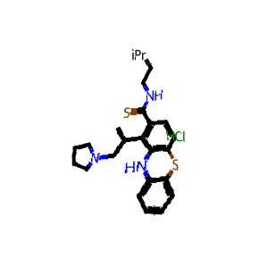 CC(C)CCNC(=S)c1ccc2c(c1C(C)CN1CCCC1)Nc1ccccc1S2.Cl